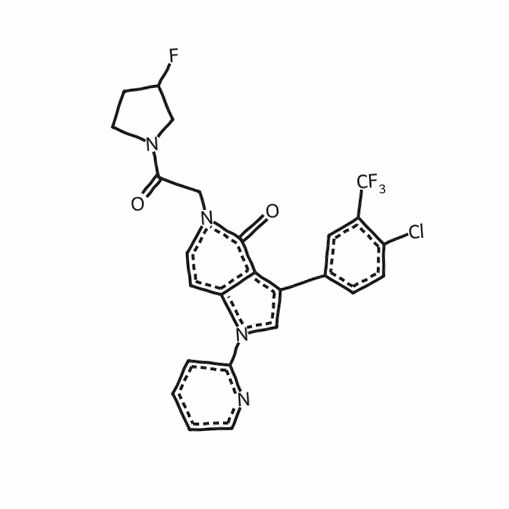 O=C(Cn1ccc2c(c(-c3ccc(Cl)c(C(F)(F)F)c3)cn2-c2ccccn2)c1=O)N1CCC(F)C1